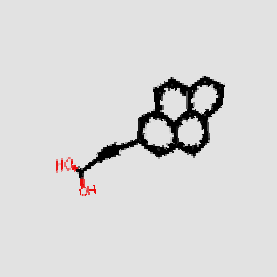 OC(O)C#Cc1cc2ccc3cccc4ccc(c1)c2c34